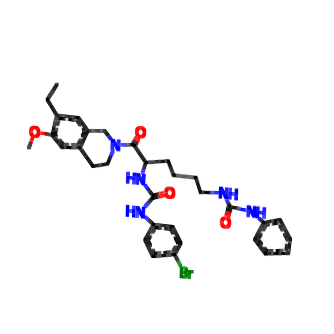 CCc1cc2c(cc1OC)CCN(C(=O)C(CCCCNC(=O)Nc1ccccc1)NC(=O)Nc1ccc(Br)cc1)C2